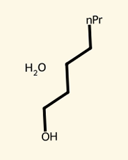 CCCCCCCO.O